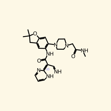 CNC(=O)CN1CCN(c2cc3c(cc2NC(=O)/C(C=N)=C2\N=CC=CN2)CC(C)(C)O3)CC1